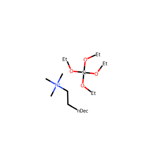 CCCCCCCCCCCC[N+](C)(C)C.CCO[Si](OCC)(OCC)OCC